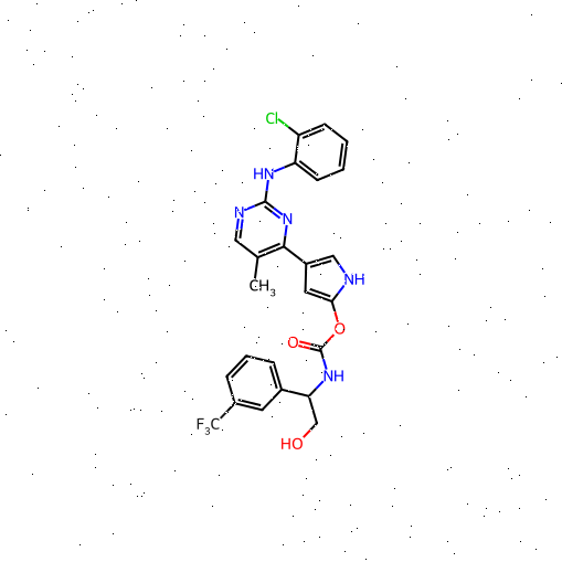 Cc1cnc(Nc2ccccc2Cl)nc1-c1c[nH]c(OC(=O)NC(CO)c2cccc(C(F)(F)F)c2)c1